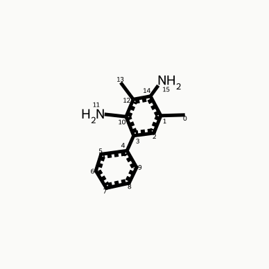 Cc1cc(-c2ccccc2)c(N)c(C)c1N